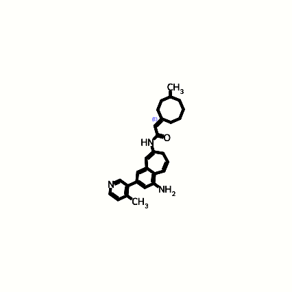 Cc1ccncc1-c1cc(N)c2c(c1)C=C(NC(=O)/C=C1\CCCCC(C)CC1)CC=C2